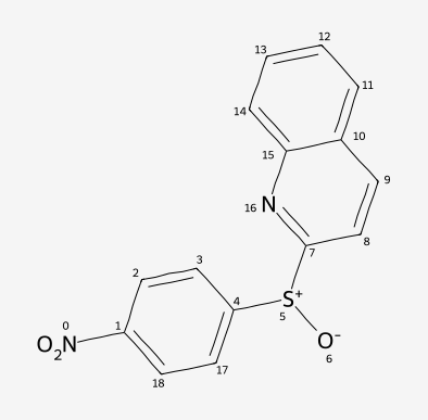 O=[N+]([O-])c1ccc([S+]([O-])c2ccc3ccccc3n2)cc1